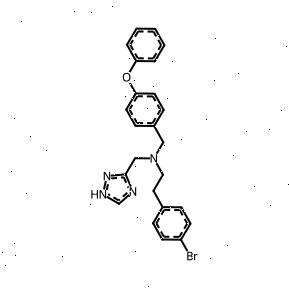 Brc1ccc(CCN(Cc2ccc(Oc3ccccc3)cc2)Cc2nc[nH]n2)cc1